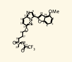 COc1cccc2oc(-c3cnc4ccc(OCCCS(C)(=O)=NC(=O)C(F)(F)F)nn34)cc12